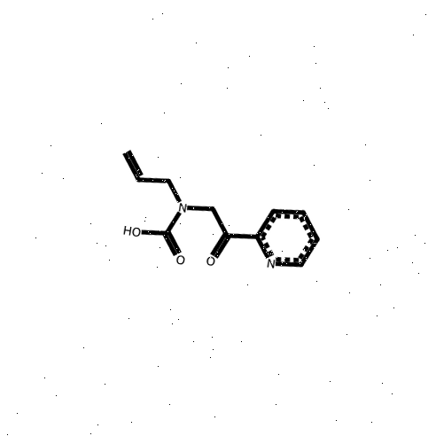 C=CCN(CC(=O)c1ccccn1)C(=O)O